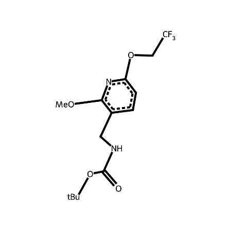 COc1nc(OCC(F)(F)F)ccc1CNC(=O)OC(C)(C)C